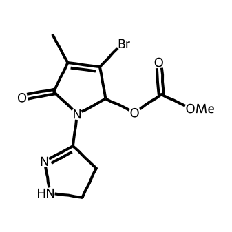 COC(=O)OC1C(Br)=C(C)C(=O)N1C1=NNCC1